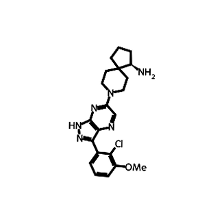 COc1cccc(-c2n[nH]c3nc(N4CCC5(CCC[C@H]5N)CC4)cnc23)c1Cl